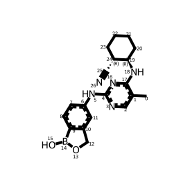 Cc1cnc(Nc2ccc3c(c2)COB3O)nc1N[C@@H]1CCCC[C@H]1C#N